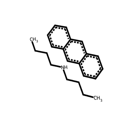 CCCCNCCCC.c1ccc2cc3ccccc3cc2c1